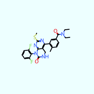 CCN(CC)C(=O)c1ccc(C)c(-c2nc(SC)nc3c2CNC(=O)N3c2c(F)cccc2F)c1